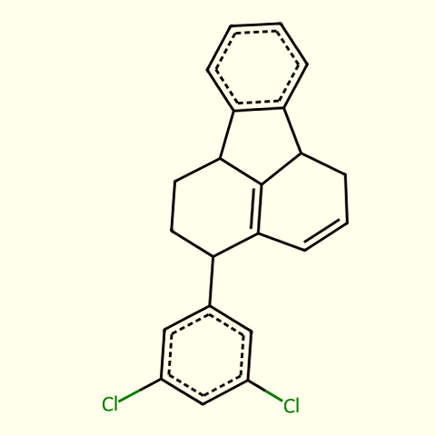 Clc1cc(Cl)cc(C2CCC3C4=C2C=CCC4c2ccccc23)c1